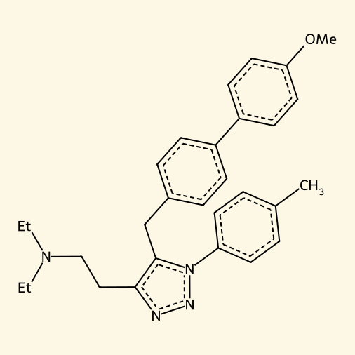 CCN(CC)CCc1nnn(-c2ccc(C)cc2)c1Cc1ccc(-c2ccc(OC)cc2)cc1